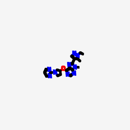 CCn1ncc(-c2nc3c(O[C@H]4CCN(c5ncccn5)C4)ncnc3n2C)c1C